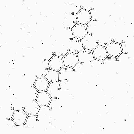 CC1(C)c2c(ccc3cc(Sc4ccccc4)ccc23)-c2ccc3cc(N(c4ccc5ccccc5c4)c4ccc5ccccc5c4)ccc3c21